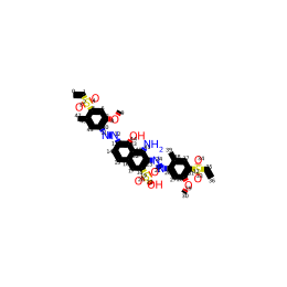 C=CS(=O)(=O)c1cc(OC)c(/N=N/c2ccc3cc(S(=O)(=O)O)c(/N=N/c4cc(OC)c(S(=O)(=O)C=C)cc4C)c(N)c3c2O)cc1C